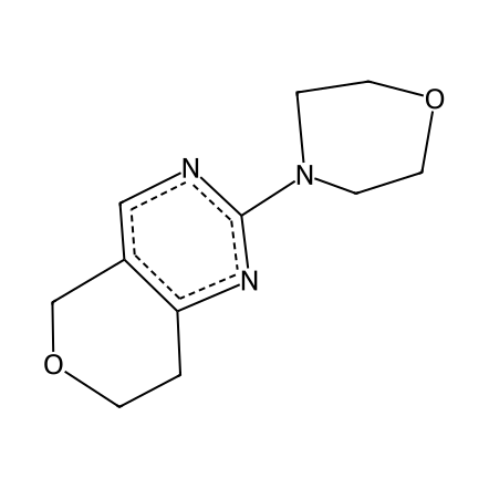 c1nc(N2CCOCC2)nc2c1COCC2